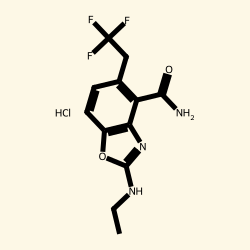 CCNc1nc2c(C(N)=O)c(CC(F)(F)F)ccc2o1.Cl